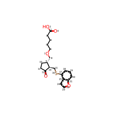 O=C(O)CCCCOC[C@H]1CCC(=O)[C@@H]1CSc1cccc2occc12